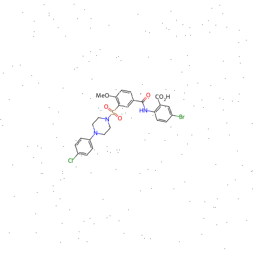 COc1ccc(C(=O)Nc2ccc(Br)cc2C(=O)O)cc1S(=O)(=O)N1CCN(c2ccc(Cl)cc2)CC1